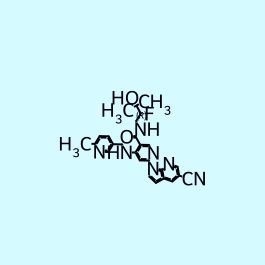 Cc1ccc(CNc2cc(-n3ccc4cc(C#N)cnc43)ncc2C(=O)NC[C@@H](F)C(C)(C)O)cn1